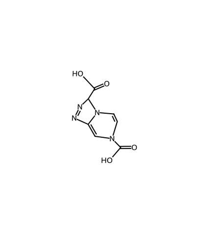 O=C(O)C1N=NC2=CN(C(=O)O)C=CN21